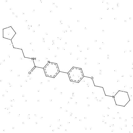 O=C(NCCCC1CCCC1)c1ccc(-c2ccc(OCCCN3CCCCC3)cc2)cn1